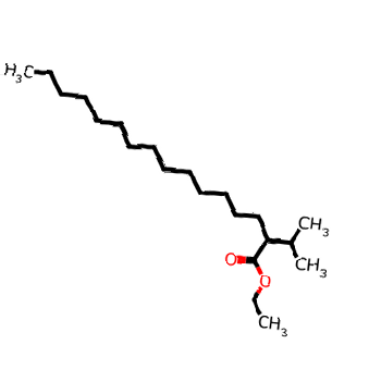 CCCCCCCCCCCCCCC(C(=O)OCC)C(C)C